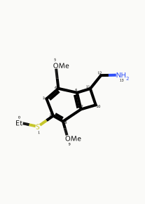 CCSc1cc(OC)c2c(c1OC)CC2CN